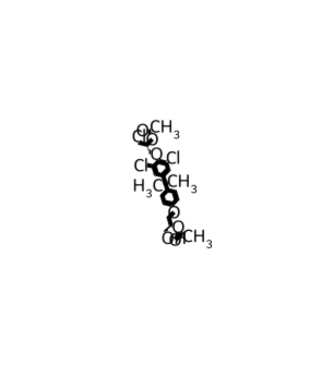 CC(=O)O[C@@H](CO)COC1=CCC(C(C)(C)c2cc(Cl)c(OC[C@H](CCl)OC(C)=O)c(Cl)c2)C=C1